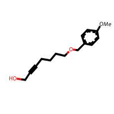 COc1ccc(COCCCCC#CCO)cc1